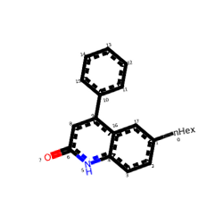 CCCCCCc1ccc2[nH]c(=O)cc(-c3ccccc3)c2c1